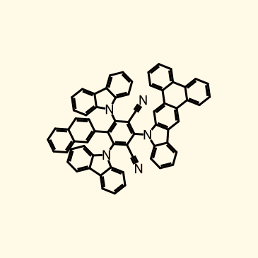 N#Cc1c(-n2c3ccccc3c3cc4c5ccccc5c5ccccc5c4cc32)c(C#N)c(-n2c3ccccc3c3ccccc32)c(-c2ccc3ccccc3c2)c1-n1c2ccccc2c2ccccc21